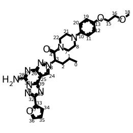 CCCC(C(=O)N1CCN(c2ccc(OCCOC)cc2)CC1)n1cc2c(nc(N)n3nc(-c4ccco4)nc23)n1